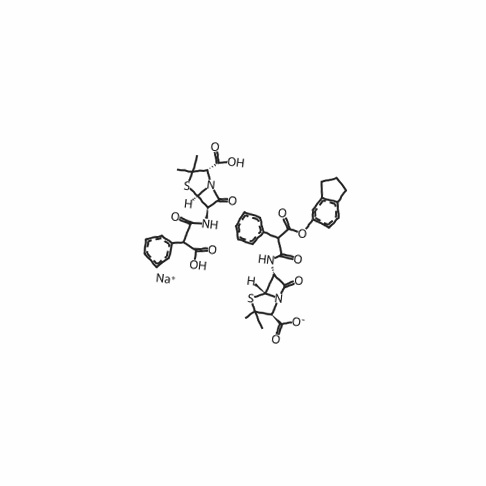 CC1(C)S[C@@H]2[C@H](NC(=O)C(C(=O)O)c3ccccc3)C(=O)N2[C@H]1C(=O)O.CC1(C)S[C@@H]2[C@H](NC(=O)C(C(=O)Oc3ccc4c(c3)CCC4)c3ccccc3)C(=O)N2[C@H]1C(=O)[O-].[Na+]